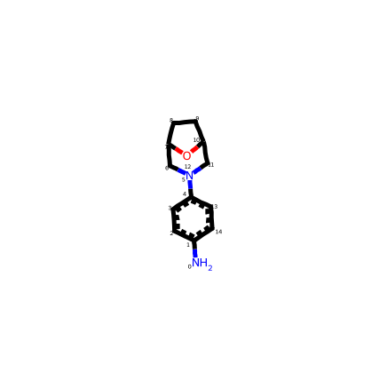 Nc1ccc(N2CC3CCC(C2)O3)cc1